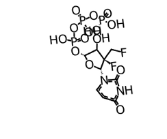 O=c1ccn([C@@H]2O[C@H](OP(=O)(O)OP(=O)(O)OP(=O)(O)O)C(O)[C@]2(F)CF)c(=O)[nH]1